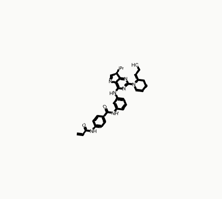 C=CC(=O)Nc1ccc(C(=O)Nc2cccc(Nc3nc(N4CCCCC4CCO)nc4c3N=CC4C(C)C)c2)cc1